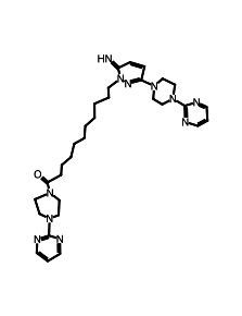 N=c1ccc(N2CCN(c3ncccn3)CC2)nn1CCCCCCCCCCC(=O)N1CCN(c2ncccn2)CC1